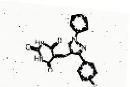 O=C1NC(=O)C(=Cc2cn(-c3ccccc3)nc2-c2ccc(F)cc2)C(=O)N1